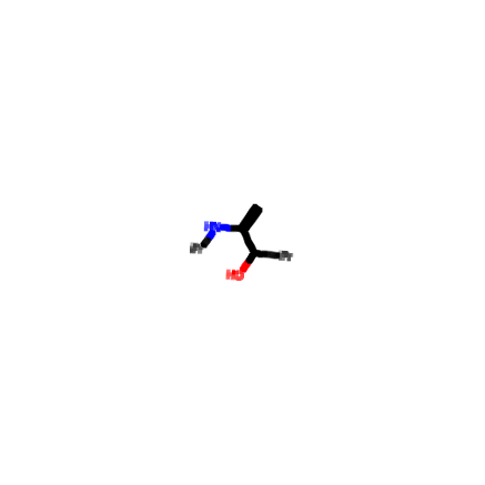 C=C(NC(C)C)C(O)C(C)C